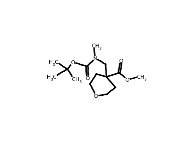 COC(=O)C1(CN(C)C(=O)OC(C)(C)C)CCOCC1